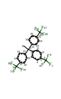 CC(c1ccc(C(F)(F)F)cc1)(c1ccc(C(F)(F)F)cc1)c1ccc(C(F)(F)F)cc1